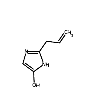 C=CCc1ncc(O)[nH]1